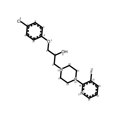 OC(COc1ccc(Cl)cc1)CN1CCN(c2ncccc2F)CC1